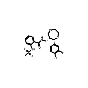 CS(=O)(=O)Nc1ccccc1C(=O)NC[C@@H]1CNCCO[C@H]1c1ccc(Cl)c(F)c1